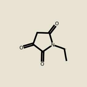 C[CH]N1C(=O)CC(=O)C1=O